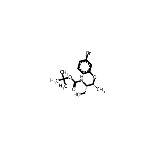 C[C@@H](Oc1cccc(Br)c1)[C@H](CO)NC(=O)OC(C)(C)C